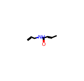 C=C[CH]NC(=O)C=CC